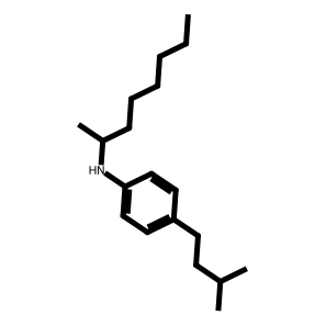 CCCCCCC(C)Nc1ccc(CCC(C)C)cc1